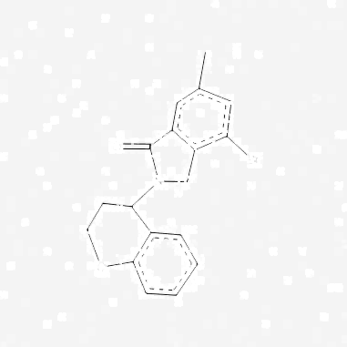 Cc1cc(Br)c2c(c1)C(=O)N(C1CCOc3ccccc31)C2